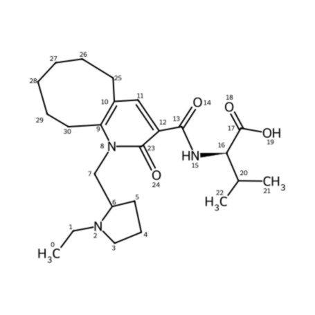 CCN1CCCC1Cn1c2c(cc(C(=O)N[C@@H](C(=O)O)C(C)C)c1=O)CCCCCC2